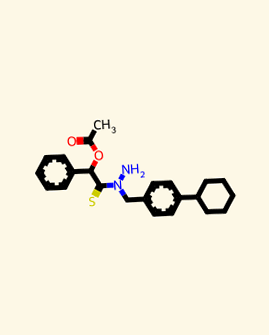 CC(=O)OC(C(=S)N(N)Cc1ccc(C2CCCCC2)cc1)c1ccccc1